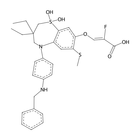 CCC1(CC)CN(c2ccc(NCc3ccccc3)cc2)c2cc(SC)c(OC=C(F)C(=O)O)cc2S(O)(O)C1